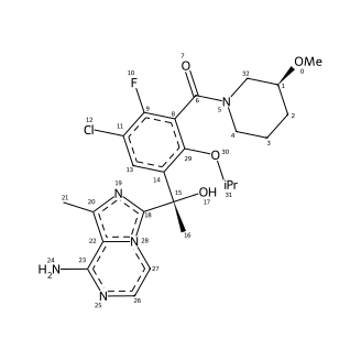 CO[C@H]1CCCN(C(=O)c2c(F)c(Cl)cc([C@](C)(O)c3nc(C)c4c(N)nccn34)c2OC(C)C)C1